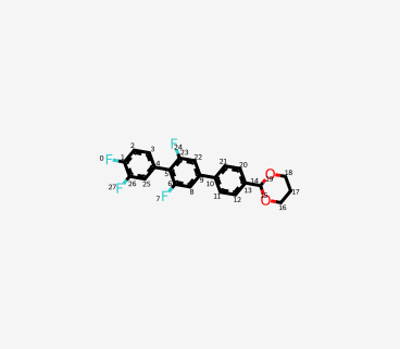 Fc1ccc(-c2c(F)cc(-c3ccc(C4OCCCO4)cc3)cc2F)cc1F